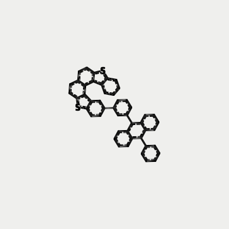 c1ccc(-c2c3ccccc3c(-c3cccc(-c4ccc5sc6ccc7ccc8sc9ccccc9c8c7c6c5c4)c3)c3ccccc23)cc1